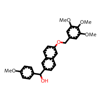 COc1ccc(C(O)c2ccc3cc(OCc4cc(OC)c(OC)c(OC)c4)ccc3c2)cc1